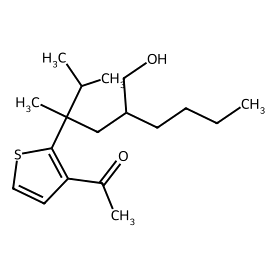 CCCCC(CO)CC(C)(c1sccc1C(C)=O)C(C)C